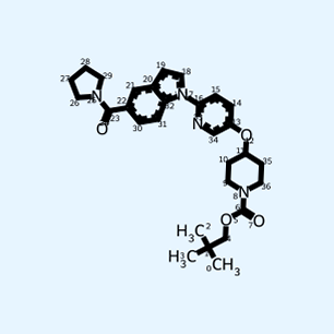 CC(C)(C)COC(=O)N1CCC(Oc2ccc(-n3ccc4cc(C(=O)N5CCCC5)ccc43)nc2)CC1